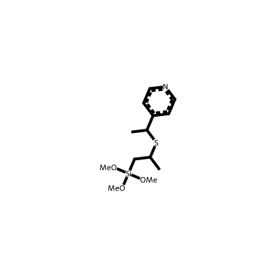 CO[Si](CC(C)SC(C)c1ccncc1)(OC)OC